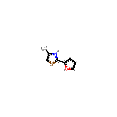 Cc1csc(-c2ccco2)n1